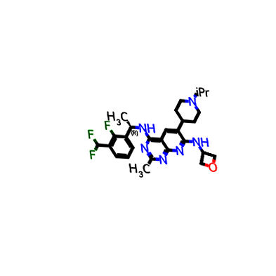 Cc1nc(N[C@H](C)c2cccc(C(F)F)c2F)c2cc(C3CCN(C(C)C)CC3)c(NC3COC3)nc2n1